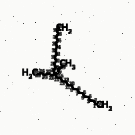 C=CCCCCCCCCCCCCCCC(C=CCC)(CCCCC=C)CCCCCCCCCCCCC=C